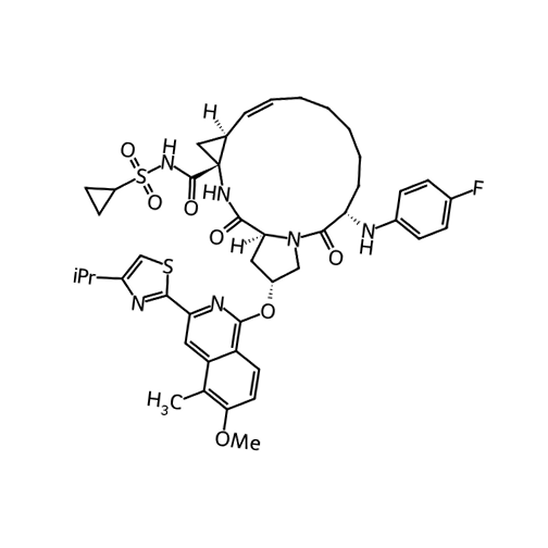 COc1ccc2c(O[C@@H]3C[C@H]4C(=O)N[C@]5(C(=O)NS(=O)(=O)C6CC6)C[C@H]5/C=C\CCCCC[C@H](Nc5ccc(F)cc5)C(=O)N4C3)nc(-c3nc(C(C)C)cs3)cc2c1C